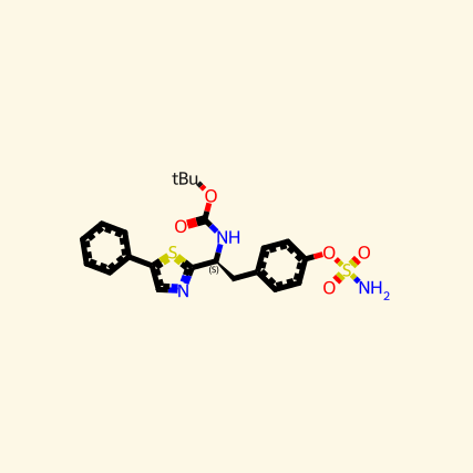 CC(C)(C)OC(=O)N[C@@H](Cc1ccc(OS(N)(=O)=O)cc1)c1ncc(-c2ccccc2)s1